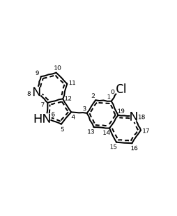 Clc1cc(-c2c[nH]c3ncccc23)cc2cccnc12